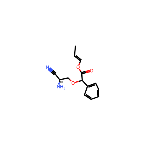 CC=COC(=O)C(OC[C@@H](N)C#N)c1ccccc1